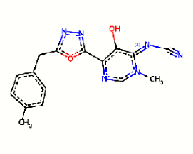 Cc1ccc(Cc2nnc(-c3ncn(C)/c(=N\C#N)c3O)o2)cc1